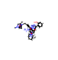 CN1C[C@@H]2C3CC31CN2CC#Cc1cc(N2C3CC[C@@H]2CN(c2cc(-c4ccccc4O)nnc2N)C3)ccn1